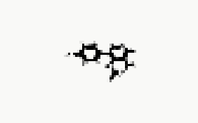 CCOc1c(-c2ccc(F)cc2)cnc(C)c1C(N)=O